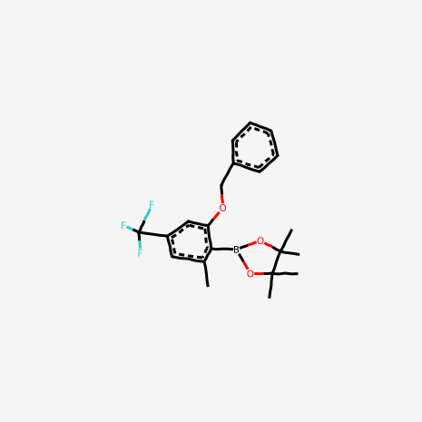 Cc1cc(C(F)(F)F)cc(OCc2ccccc2)c1B1OC(C)(C)C(C)(C)O1